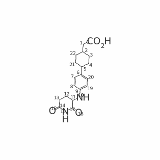 O=C(O)CC1CCC(c2ccc(NC3CCC(=O)NC3=O)cc2)CC1